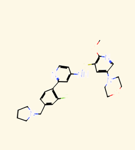 COc1ncc(N2CCOCC2)cc1SNc1ccnc(-c2ccc(CN3CCCC3)cc2F)c1